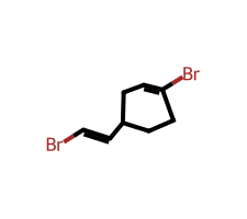 BrC=CC1CC=C(Br)CC1